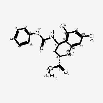 COC(=O)[C@@H]1C[C@@H](NC(=O)Oc2ccccc2)c2c(Cl)cc(Cl)cc2N1